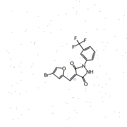 O=C1NN(c2cccc(C(F)(F)F)c2)C(=O)/C1=C\c1cc(Br)co1